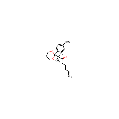 C=CCCCC(=O)C(C)(C)C1(c2ccc(OC)cc2)OCCCO1